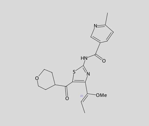 C/C=C(\OC)c1nc(NC(=O)c2ccc(C)nc2)sc1C(=O)C1CCOCC1